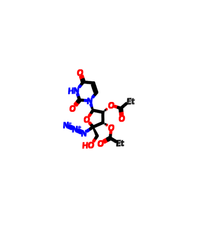 CCC(=O)O[C@H]1[C@H](n2ccc(=O)[nH]c2=O)O[C@@](CO)(N=[N+]=[N-])[C@H]1OC(=O)CC